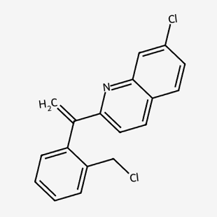 C=C(c1ccc2ccc(Cl)cc2n1)c1ccccc1CCl